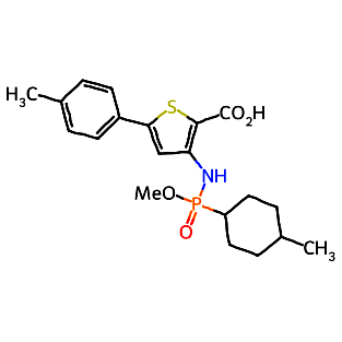 COP(=O)(Nc1cc(-c2ccc(C)cc2)sc1C(=O)O)C1CCC(C)CC1